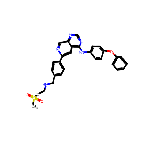 CS(=O)(=O)CCNCc1ccc(-c2cc3c(Nc4ccc(Oc5ccccc5)cc4)ncnc3cn2)cc1